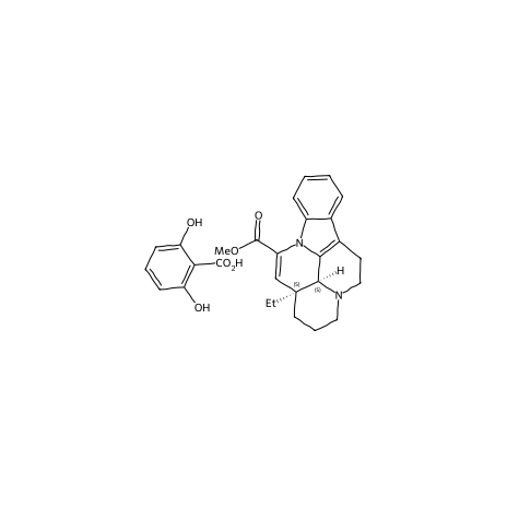 CC[C@@]12C=C(C(=O)OC)n3c4c(c5ccccc53)CCN(CCC1)[C@H]42.O=C(O)c1c(O)cccc1O